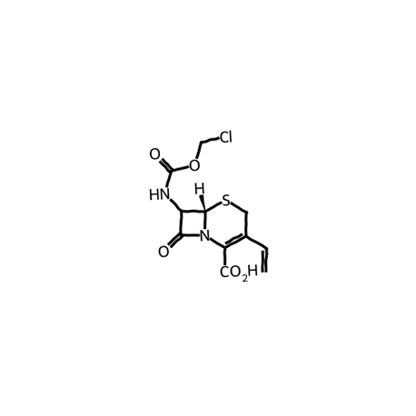 C=CC1=C(C(=O)O)N2C(=O)C(NC(=O)OCCl)[C@@H]2SC1